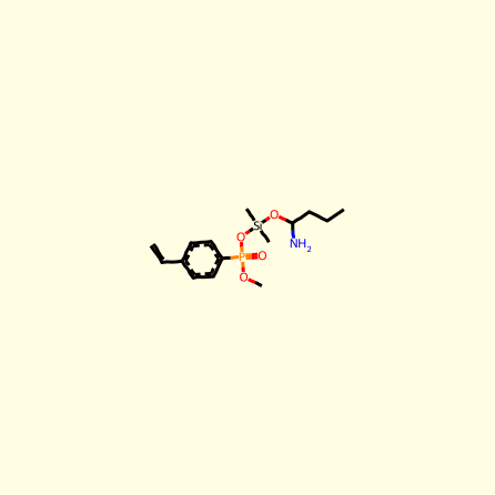 C=Cc1ccc(P(=O)(OC)O[Si](C)(C)OC(N)CCC)cc1